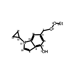 CCOOCc1cc(O)c2ccn(C3CC3)c2c1